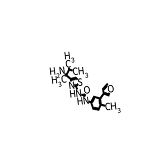 Cc1ccc(NC(=O)Nc2nc(C(C)(N)C(C)C)cs2)cc1-c1ccoc1